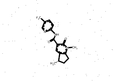 C[C@H]1CCc2c1cc(C(=O)Nc1ccc(C(F)(F)F)cn1)c(=O)n2C